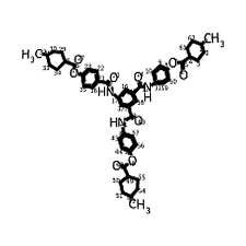 CC1CCC(C(=O)Oc2ccc(NC(=O)c3cc(NC(=O)c4ccc(OC(=O)C5CCC(C)CC5)cc4)cc(C(=O)Nc4ccc(OC(=O)C5CCC(C)CC5)cc4)c3)cc2)CC1